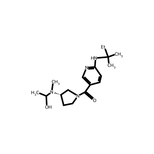 CCC(C)(C)Nc1ccc(C(=O)N2CC[C@H](N(C)C(C)O)C2)cn1